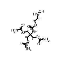 NC(=O)OCC(COC(N)=O)(COC(N)=O)NC(=O)OCCNO